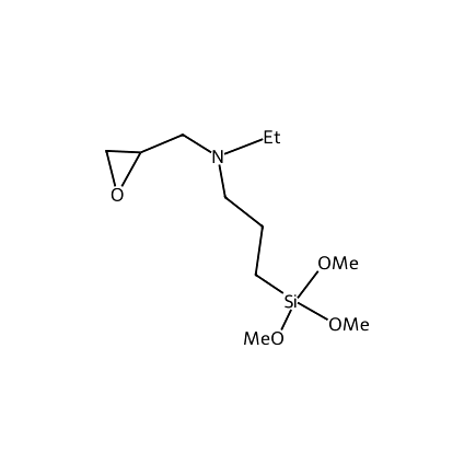 CCN(CCC[Si](OC)(OC)OC)CC1CO1